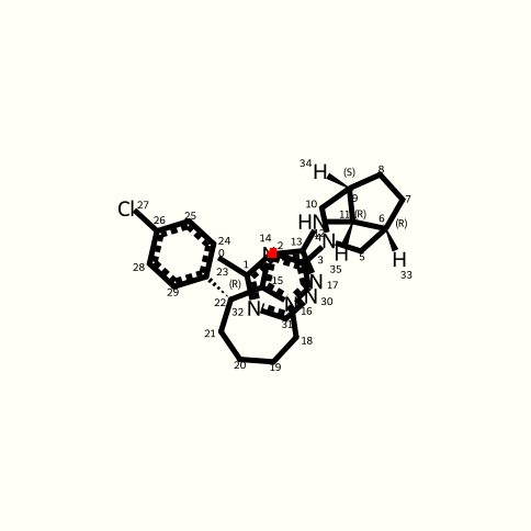 Cc1cc(N2C[C@H]3CC[C@@H](C2)[C@H]3Nc2nc3n(n2)CCCC[C@@H]3c2ccc(Cl)cc2)ncn1